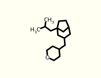 CC(C)CC12CCC(CC(CC3CCOCC3)C1)C2